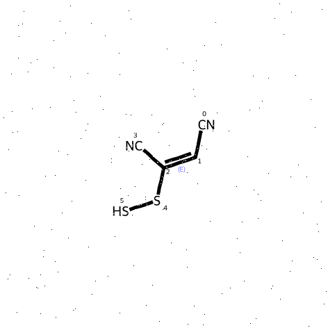 N#C/C=C(\C#N)SS